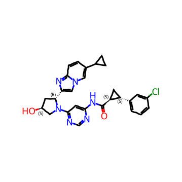 O=C(Nc1cc(N2C[C@@H](O)C[C@@H]2c2cn3cc(C4CC4)ccc3n2)ncn1)[C@H]1C[C@@H]1c1cccc(Cl)c1